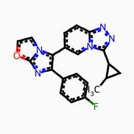 CC1CC1c1nnc2ccc(-c3c(-c4ccc(F)cc4)nc4occn34)cn12